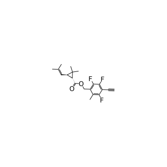 C#Cc1c(F)c(C)c(COC(=O)[C@@H]2[C@@H](C=C(C)C)C2(C)C)c(F)c1F